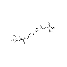 CCN(CC)C(=S)SCc1ccc(NCC(=O)CC[C@H](N)C(=O)O)cc1